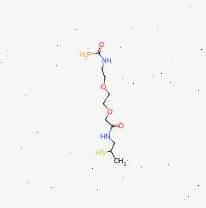 CC(S)CNC(=O)COCCOCCNC(=O)P